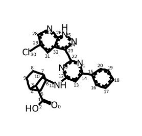 O=C(O)C1C2CCC(CC2)C1Nc1cc(-c2ccccc2)nc(-c2n[nH]c3ncc(Cl)cc23)n1